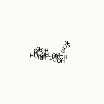 C/C(=C\c1ccc(O[C@@H]2O[C@H](/C(C)=C/COc3ccc4ncsc4c3)[C@@H](O)[C@@H]2O)c(O)c1)C(=O)N[C@@H]1[C@H](O)[C@@H](O)[C@H]2OCO[C@H]2[C@@H]1O